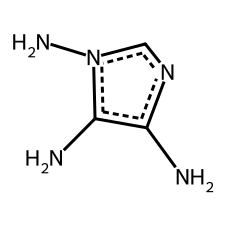 Nc1ncn(N)c1N